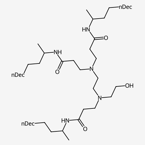 CCCCCCCCCCCCC(C)NC(=O)CCN(CCO)CCN(CCC(=O)NC(C)CCCCCCCCCCCC)CCC(=O)NC(C)CCCCCCCCCCCC